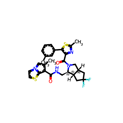 Cc1cccc(-c2sc(C)nc2C(=O)N2C[C@@H]3CC(F)(F)C[C@@H]3[C@H]2CNC(=O)c2c(C)cn3ccsc23)c1